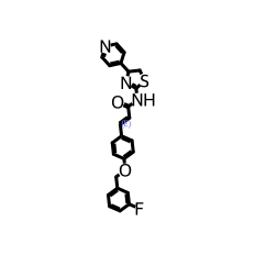 O=C(/C=C/c1ccc(OCc2cccc(F)c2)cc1)NC1=NC(c2ccncc2)CS1